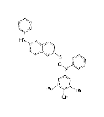 CC(C)(C)c1cc(N(OSc2ccc3cc(Nc4ccccc4)ccc3c2)c2ccccc2)cc(C(C)(C)C)c1O